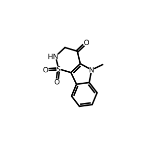 Cn1c2c(c3ccccc31)S(=O)(=O)NCC2=O